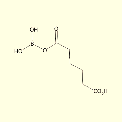 O=C(O)CCCCC(=O)OB(O)O